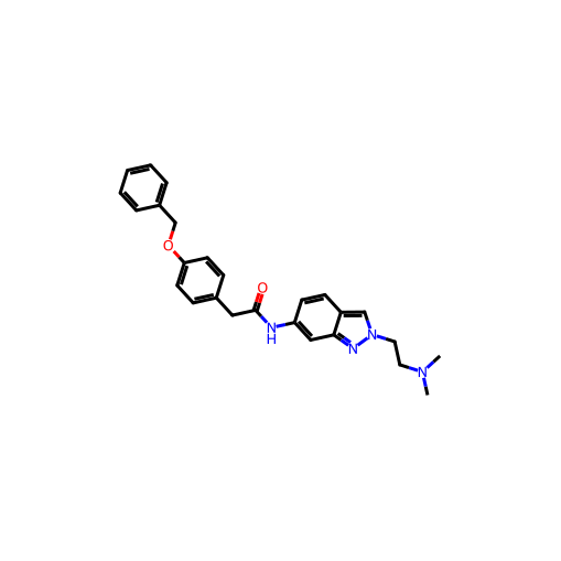 CN(C)CCn1cc2ccc(NC(=O)Cc3ccc(OCc4ccccc4)cc3)cc2n1